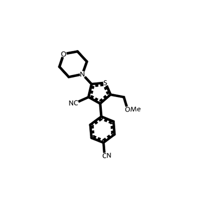 COCc1sc(N2CCOCC2)c(C#N)c1-c1ccc(C#N)cc1